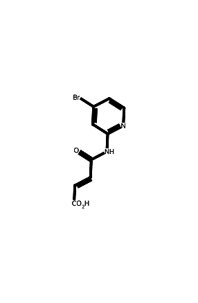 O=C(O)C=CC(=O)Nc1cc(Br)ccn1